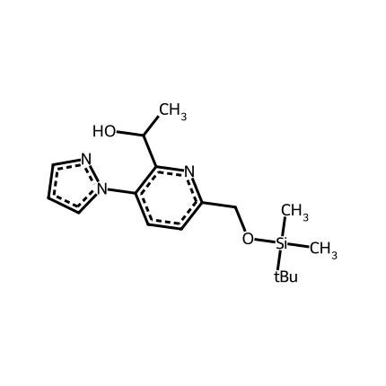 CC(O)c1nc(CO[Si](C)(C)C(C)(C)C)ccc1-n1cccn1